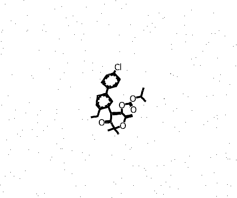 C=C1OC(C)(C)C(=O)C(c2cc(-c3ccc(Cl)cc3)ccc2CC)=C1OC(=O)OC(C)C